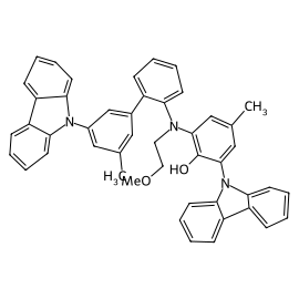 COCCN(c1ccccc1-c1cc(C)cc(-n2c3ccccc3c3ccccc32)c1)c1cc(C)cc(-n2c3ccccc3c3ccccc32)c1O